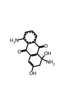 Nc1cccc2c1C(=O)C1=C(C2=O)C(N)(O)CC(O)=C1